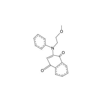 COCCN(C1=CC(=O)c2ccccc2C1=O)c1ccccc1